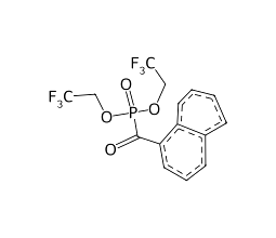 O=C(c1cccc2ccccc12)P(=O)(OCC(F)(F)F)OCC(F)(F)F